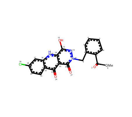 COC(=O)c1ccccc1Cn1nc(O)c2[nH]c3cc(Cl)ccc3c(=O)c2c1=O